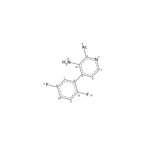 CC(=O)c1nccc(-c2cc(F)ccc2F)c1N